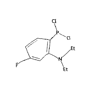 CCN(CC)c1cc(F)ccc1P(Cl)Cl